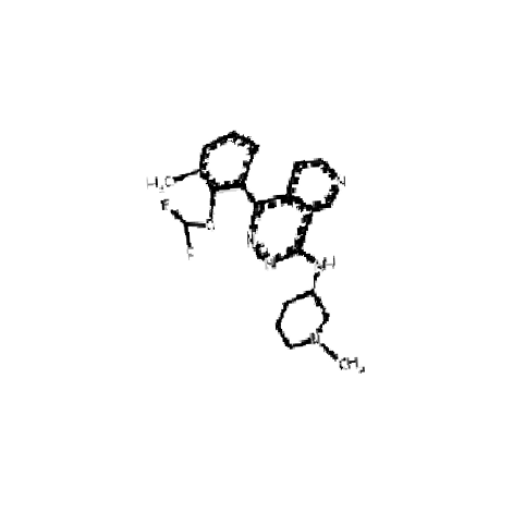 Cc1cccc(-c2nnc(N[C@@H]3CCCN(C)C3)c3cnccc23)c1OC(F)F